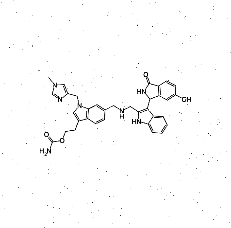 Cn1cnc(Cn2cc(CCOC(N)=O)c3ccc(CNCc4[nH]c5ccccc5c4C4NC(=O)c5ccc(O)cc54)cc32)c1